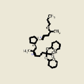 CCCOC(C)C/C=C/[C@H]1CCC[C@@H]1C/C(C)=C\CCC(OC1CCCCO1)(OC1CCCCO1)C(=O)O